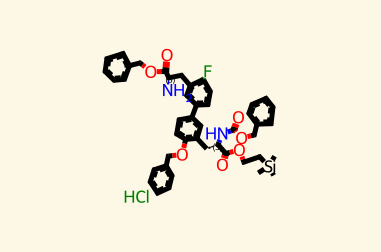 C[Si](C)(C)CCOC(=O)[C@H](Cc1cc(-c2ccc(F)c(C[C@H](N)C(=O)OCc3ccccc3)c2)ccc1OCc1ccccc1)NC(=O)OCc1ccccc1.Cl